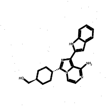 Nc1nccn2c1c(-c1cc3ccccc3[nH]1)nc2[C@H]1CC[C@H](CO)CC1